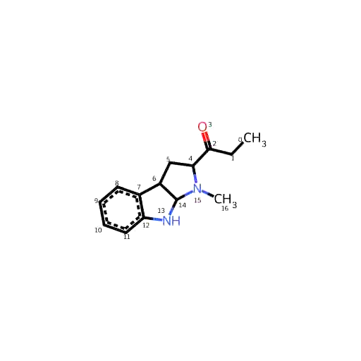 CCC(=O)C1CC2c3ccccc3NC2N1C